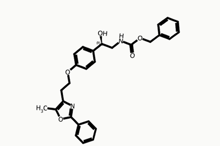 Cc1oc(-c2ccccc2)nc1CCOc1ccc([C@@H](O)CNC(=O)OCc2ccccc2)cc1